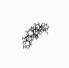 C[C@]12C/C(=C/O)C(=O)C=C1CC[C@@H]1[C@@H]2[C@H](F)C[C@@]2(C)[C@H]1CC[C@]2(C)O